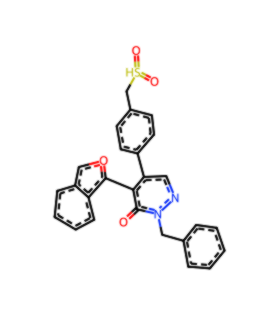 O=c1c(-c2occ3ccccc23)c(-c2ccc(C[SH](=O)=O)cc2)cnn1Cc1ccccc1